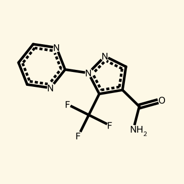 NC(=O)c1cnn(-c2ncccn2)c1C(F)(F)F